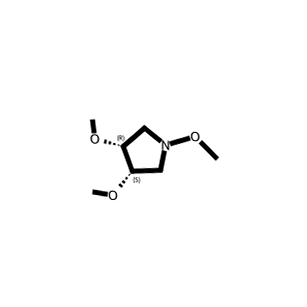 CO[C@H]1CN(OC)C[C@H]1OC